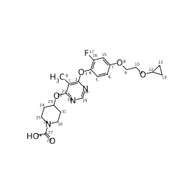 Cc1c(Oc2ccc(OCCOC3CC3)cc2F)ncnc1OC1CCN(C(=O)O)CC1